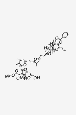 C=CC[C@@H]1O[C@H]2C3O[C@]4(CC[C@H]5CC(=C)[C@H](CC[C@H]6C[C@@H](C)C(=C)[C@@H](C[C@@H]7O[C@H](C[C@H](O)CO)[C@H](OC)[C@H]7CC(=O)OC)O6)O5)C[C@H]3O[C@H]2[C@@H](O4)[C@H]1OC(=O)c1ccccc1